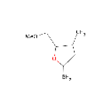 BC1CC(C)C(COC)O1